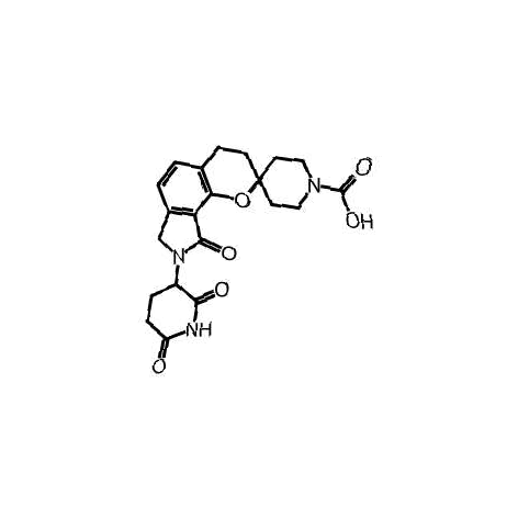 O=C1CCC(N2Cc3ccc4c(c3C2=O)OC2(CC4)CCN(C(=O)O)CC2)C(=O)N1